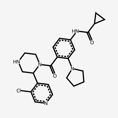 O=C(Nc1ccc(C(=O)N2CCNCC2c2ccncc2Cl)c(N2CCCC2)c1)C1CC1